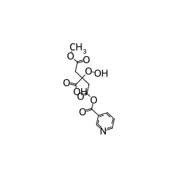 COC(=O)CC(CC(=O)OC(=O)c1cccnc1)(OO)C(=O)O